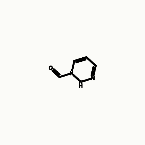 O=CN1C=CC=NN1